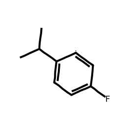 CC(C)c1[c]cc(F)cc1